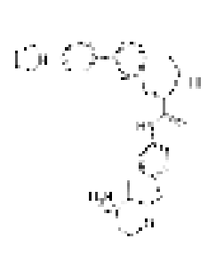 CC1C(Cc2ccc(NC(=O)C3=Cc4cc(-c5ccc(N6CCCC6)cc5)ccc4CCC3)cc2)OCCC1(C)N.I